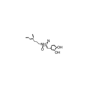 C=C/C=C(\C=C)CCCNC(=O)/C(C#N)=C/c1ccc(O)c(O)c1